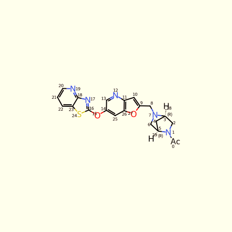 CC(=O)N1C[C@H]2C[C@@H]1CN2Cc1cc2ncc(Oc3nc4ncccc4s3)cc2o1